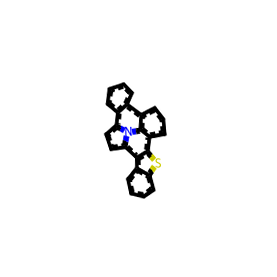 c1ccc2c(c1)sc1c3cccc4c5ccccc5c5ccc(c21)n5c43